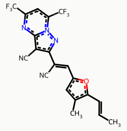 CC=Cc1oc(C=C(C#N)c2nn3c(C(F)(F)F)cc(C(F)(F)F)nc3c2C#N)cc1C